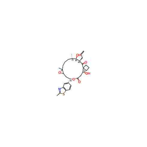 C=CC[C@H]1C(=O)C2(CCC2)[C@@H](O)CC(=O)O[C@H](c2ccc3sc(C)nc3c2)CC2OC2(C)CCC[C@H](C)[C@H]1O